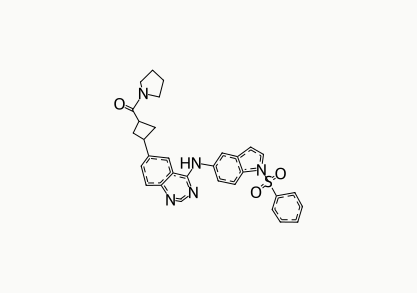 O=C(C1CC(c2ccc3ncnc(Nc4ccc5c(ccn5S(=O)(=O)c5ccccc5)c4)c3c2)C1)N1CCCC1